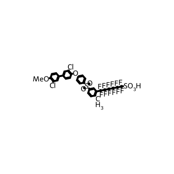 COc1ccc(-c2ccc(Oc3ccc(S(=O)(=O)c4ccc(C)c(C(F)(F)C(F)(F)C(F)(F)C(F)(F)C(F)(F)C(F)(F)S(=O)(=O)O)c4)cc3)c(Cl)c2)cc1Cl